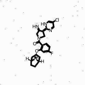 CCN1[C@@H]2CC[C@H]1C[C@@H](Oc1cc(F)ccc1C(=O)N1CC(=N)/C(=C3/N=CC(Cl)=CN3)C1)C2